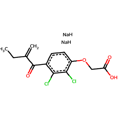 C=C(CC)C(=O)c1ccc(OCC(=O)O)c(Cl)c1Cl.[NaH].[NaH]